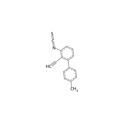 C#Cc1c(N=C=S)cccc1-c1ccc(C)cc1